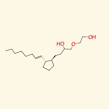 CCCCCCC=C[C@H]1CCC[C@@H]1CCC(O)COCCO